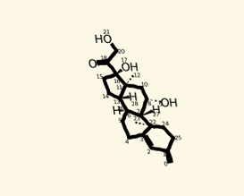 C=C1C=C2CC[C@@H]3[C@H]([C@@H](O)C[C@@]4(C)[C@H]3CC[C@]4(O)C(=O)CO)[C@@]2(C)CC1